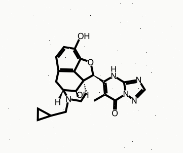 Cc1c([C@@H]2Oc3c(O)ccc4c3[C@@]23CCN(CC2CC2)[C@H](C4)[C@@]3(C)O)[nH]c2ncnn2c1=O